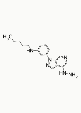 CCCCCNc1cccc(-n2ncc3c(NN)cncc32)c1